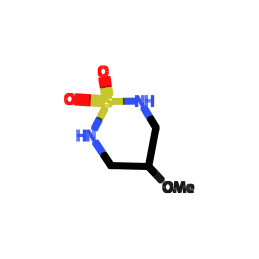 COC1CNS(=O)(=O)NC1